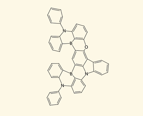 c1ccc(N2c3ccccc3B3c4cc5c6c(c4Oc4cccc2c43)c2ccccc2n6-c2cccc3c2B5c2ccccc2N3c2ccccc2)cc1